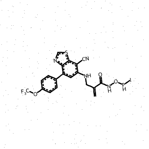 C=C(CNc1cc(-c2ccc(OC(F)(F)F)cc2)c2ncsc2c1C#N)C(=O)NOPI